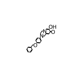 O=c1cc2n(cc1O)CCN(c1ccc(OCc3ccccc3)cc1)C2